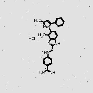 Cc1cc(-c2ccccc2)n(-c2ccc3[nH]c(CNc4ccc(C(=N)N)cc4)nc3c2C)n1.Cl